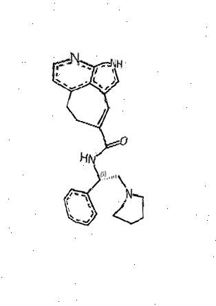 O=C(N[C@H](CN1CCCC1)c1ccccc1)C1=Cc2c[nH]c3nccc(c23)CC1